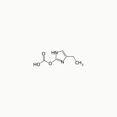 CCc1c[nH]c(OC(=O)O)n1